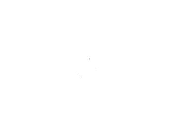 CCCCC[C@H]1CCCNC1.Cl